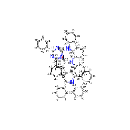 c1ccc(-c2cc(-c3ccccc3-n3c4ccccc4c4ccc5c6ccccc6n(-c6nc(-c7ccccc7)nc(-c7ccccc7)n6)c5c43)cc(-c3ccccc3-c3ccccc3)n2)cc1